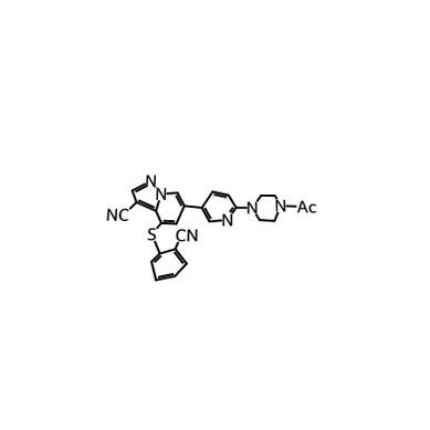 CC(=O)N1CCN(c2ccc(-c3cc(Sc4ccccc4C#N)c4c(C#N)cnn4c3)cn2)CC1